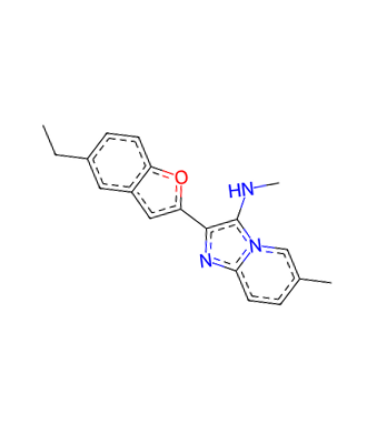 CCc1ccc2oc(-c3nc4ccc(C)cn4c3NC)cc2c1